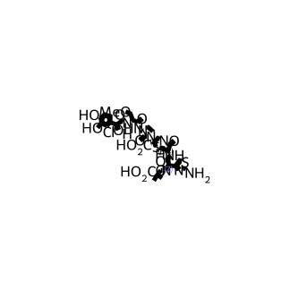 COCC(NC(=O)C(=O)c1ccc(O)c(O)c1Cl)C(=O)NN1CCN([C@]2(C(=O)O)CN3C(=O)[C@@H](NC(=O)/C(=N\OC(C)(C)C(=O)O)c4csc(N)n4)[C@H]3S2)C1=O